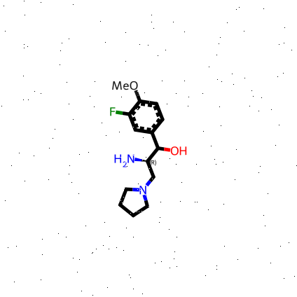 COc1ccc(C(O)[C@H](N)CN2CCCC2)cc1F